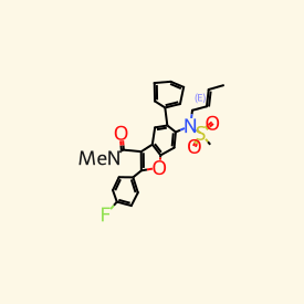 C/C=C/CN(c1cc2oc(-c3ccc(F)cc3)c(C(=O)NC)c2cc1-c1ccccc1)S(C)(=O)=O